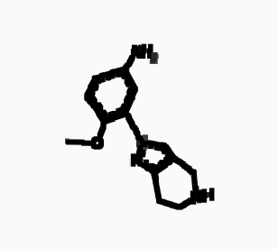 COc1ccc(N)cc1-n1cc2c(n1)CCNC2